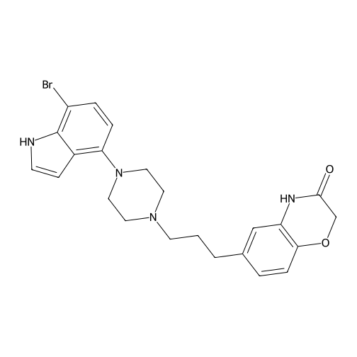 O=C1COc2ccc(CCCN3CCN(c4ccc(Br)c5[nH]ccc45)CC3)cc2N1